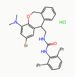 CC(C)c1cccc(C(C)C)c1NC(=O)NCC1c2ccccc2COc2c1cc(Br)cc2N(C)C.Cl